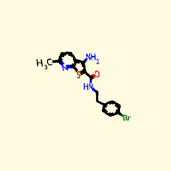 Cc1ccc2c(N)c(C(=O)NCCc3ccc(Br)cc3)sc2n1